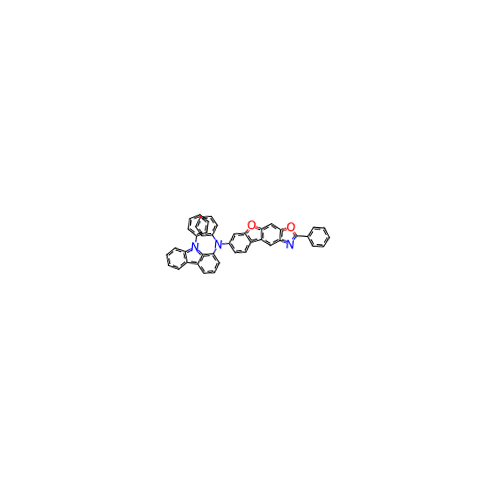 c1ccc(-c2nc3cc4c(cc3o2)oc2cc(N(c3ccccc3)c3cccc5c6ccccc6n(-c6ccccc6)c35)ccc24)cc1